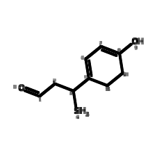 O=CCC([SiH3])C1=CC=C(O)CC1